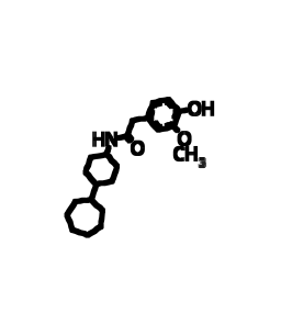 COc1cc(CC(=O)NC2CCC(C3CCCCCC3)CC2)ccc1O